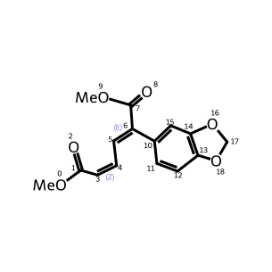 COC(=O)/C=C\C=C(\C(=O)OC)c1ccc2c(c1)OCO2